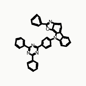 c1ccc(-c2nc(-c3ccccc3)nc(-c3ccc(-n4c5ccccc5c5ccc6nc(-c7ccccc7)oc6c54)cc3)n2)cc1